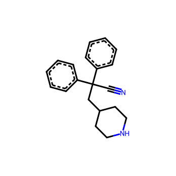 N#CC(CC1CCNCC1)(c1ccccc1)c1ccccc1